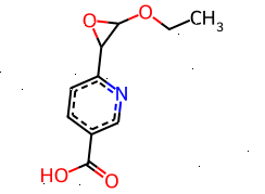 CCOC1OC1c1ccc(C(=O)O)cn1